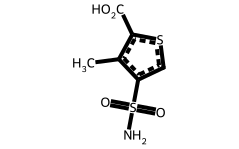 Cc1c(S(N)(=O)=O)csc1C(=O)O